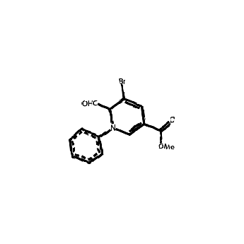 COC(=O)C1=CN(c2ccccc2)C(C=O)C(Br)=C1